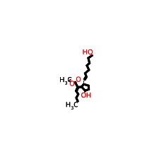 CCCC/C=C(/C(=O)OC)C1[C@H](O)CC[C@H]1C=CCCCCCCO